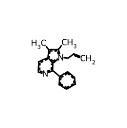 C=CCn1c(C)c(C)c2ccnc(-c3ccccc3)c21